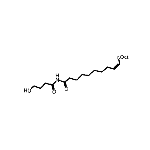 CCCCCCCC/C=C\CCCCCCCC(=O)NC(=O)CCCO